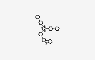 c1ccc(-c2ccc(-c3nc(-c4ccc(-c5ccccc5)cc4)nc(-c4cccc(-c5ccc6sc7ccccc7c6c5)c4)n3)cc2)cc1